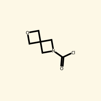 O=C(Cl)N1CC2(COC2)C1